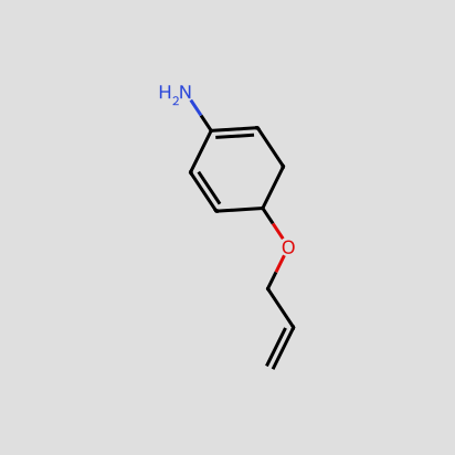 C=CCOC1C=CC(N)=CC1